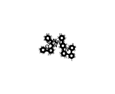 c1ccc2c(c1)-c1ccccc1-n1c3cc4c5ccccc5n(-c5nc(-c6cccc7c6oc6ccccc67)c6sc7ccccc7c6n5)c4cc3c3cccc-2c31